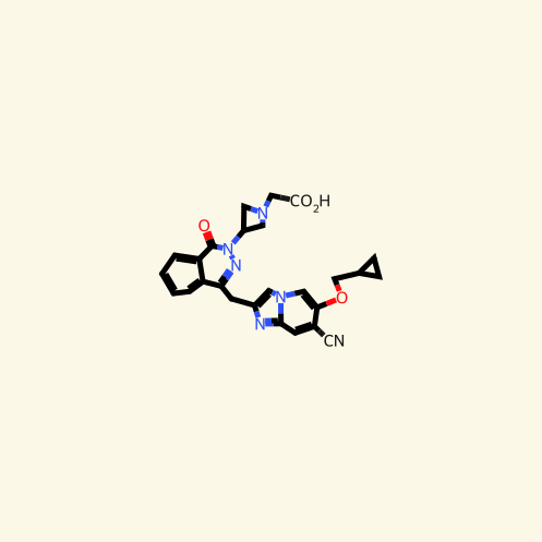 N#Cc1cc2nc(Cc3nn(C4CN(CC(=O)O)C4)c(=O)c4ccccc34)cn2cc1OCC1CC1